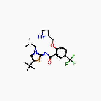 CC(C)Cn1cc(C(C)(C)C)s/c1=N\C(=O)c1cc(C(F)(F)F)ccc1OC[C@@H]1CCN1